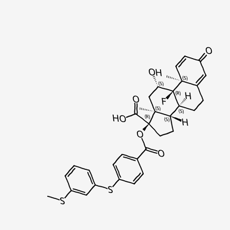 CSc1cccc(Sc2ccc(C(=O)O[C@]3(C(=O)O)CC[C@H]4[C@@H]5CCC6=CC(=O)C=C[C@]6(C)[C@@]5(F)[C@@H](O)C[C@@]43C)cc2)c1